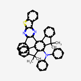 CC1(C)c2ccccc2-c2c(-c3nc4c(nc3-c3ccccc3)sc3ccccc34)c3c(c(N(c4ccccc4)c4ccccc4)c21)C(C)(C)c1ccccc1-3